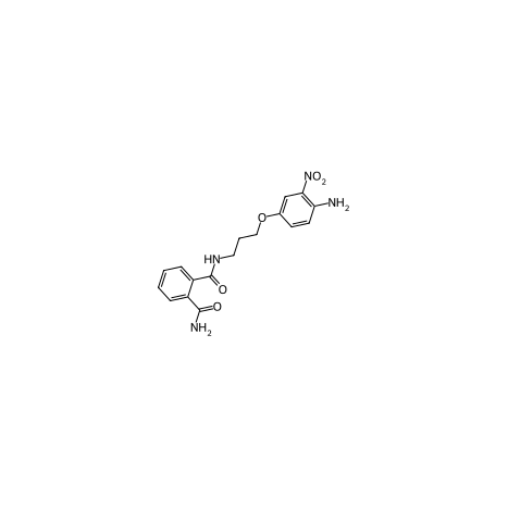 NC(=O)c1ccccc1C(=O)NCCCOc1ccc(N)c([N+](=O)[O-])c1